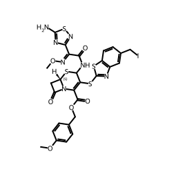 CON=C(C(=O)NC1S[C@H]2CC(=O)N2C(C(=O)OCc2ccc(OC)cc2)=C1Sc1nc2cc(CI)ccc2s1)c1nsc(N)n1